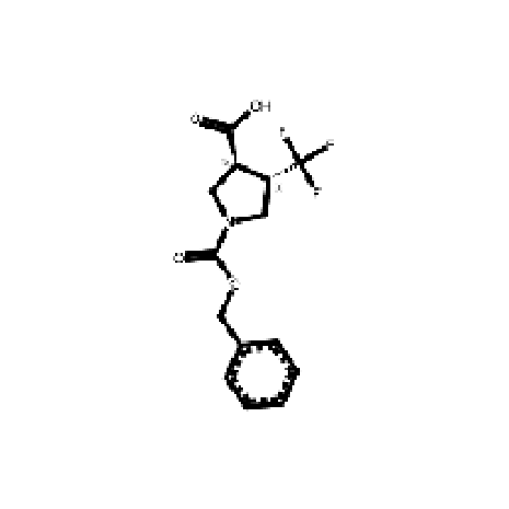 O=C(O)[C@@H]1CN(C(=O)OCc2ccccc2)C[C@H]1C(F)(F)F